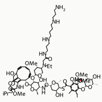 CCN(CC(=O)NCCCNCCCCNCCCN)[C@H]1CO[C@@H](O[C@H]2[C@H](O[C@H]3C#C/C=C\C#C[C@]4(O)CC(=O)C(NC(=O)OC)=C3/C4=C\CSSC(C)C)O[C@H](C)[C@@H](NO[C@H]3C[C@H](O)[C@H](SC(=O)c4c(C)c(I)c(O[C@@H]5O[C@@H](C)[C@H](O)[C@@H](OC)[C@H]5O)c(OC)c4OC)[C@@H](C)O3)[C@@H]2O)C[C@@H]1OC